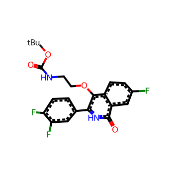 CC(C)(C)OC(=O)NCCOc1c(-c2ccc(F)c(F)c2)[nH]c(=O)c2cc(F)ccc12